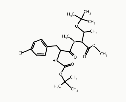 COC(=O)C(C(C)OC(C)(C)C)N(C)C(=O)C(Cc1ccc(Cl)cc1)NC(=O)OC(C)(C)C